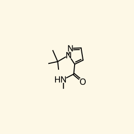 CNC(=O)c1ccnn1C(C)(C)C